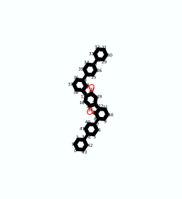 c1ccc(-c2ccc(-c3cccc4c3oc3cc5c(cc34)oc3c(-c4ccc(-c6ccccc6)cc4)cccc35)cc2)cc1